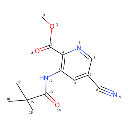 COC(=O)c1ncc(C#N)cc1NC(=O)C(C)(C)C